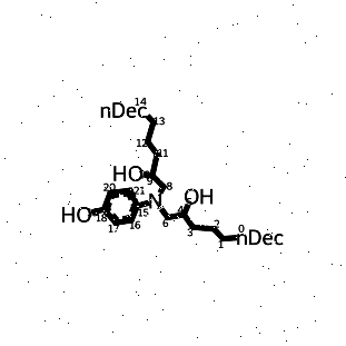 CCCCCCCCCCCCCC(O)CN(CC(O)CCCCCCCCCCCCC)c1ccc(O)cc1